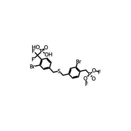 O=P(Cc1ccc(CSCc2ccc(C(F)(F)P(=O)(O)O)c(Br)c2)cc1Br)(OF)OF